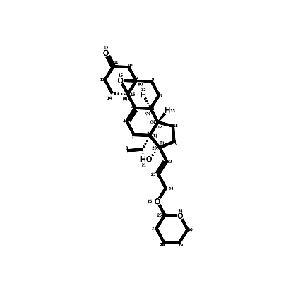 CC[C@]12CC=C3[C@@H](CC[C@@]45CC(=O)CC[C@@]34O5)[C@@H]1CC[C@@]2(O)C=CCOC1CCCCO1